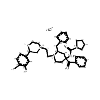 Cl.O=C(NC1(C(=O)c2ccccc2)CCN(CCN2CCOC(c3ccc(F)c(F)c3)C2)C(Cc2ccccc2)C1)N1CCCC1